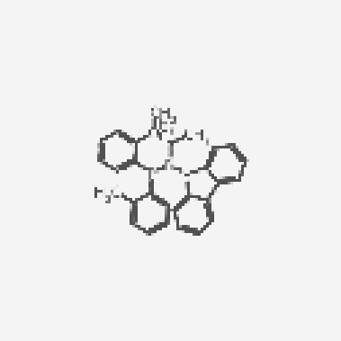 COc1ccccc1P(c1ccccc1C)N(C(C)C)p1c2ccccc2c2ccccc21